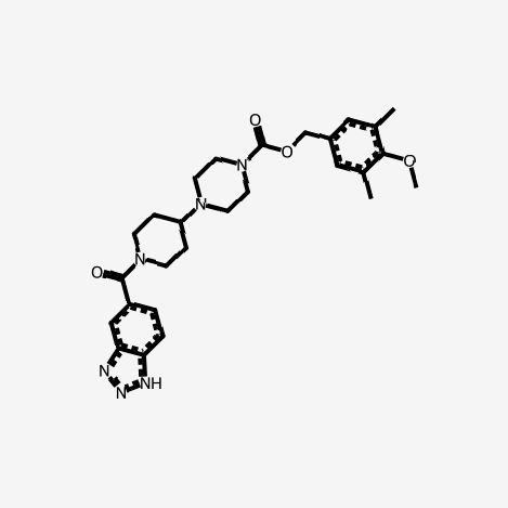 COc1c(C)cc(COC(=O)N2CCN(C3CCN(C(=O)c4ccc5[nH]nnc5c4)CC3)CC2)cc1C